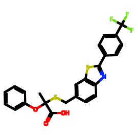 CC(Oc1ccccc1)(SCc1ccc2nc(-c3ccc(C(F)(F)F)cc3)sc2c1)C(=O)O